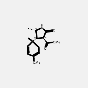 COC(=O)[C@@H]1C(=O)N[C@@H](C)[C@H]1C1(C)C=CC(OC)=CC1